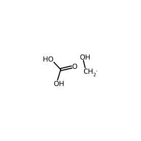 O=C(O)O.[CH2]O